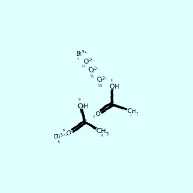 CC(=O)O.CC(=O)O.[Bi+3].[Bi+3].[O-2].[O-2].[O-2]